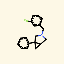 Fc1cccc(CN2CC3CC3(c3ccccc3)C2)c1